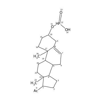 CC(=O)C1CCC2C3CC=C4CC(O[PH](=O)O)CCC4(C)C3CCC12C